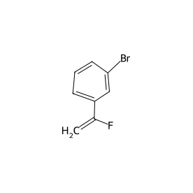 C=C(F)c1cccc(Br)c1